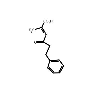 O=C(CCc1ccccc1)N=C(C(=O)O)C(F)(F)F